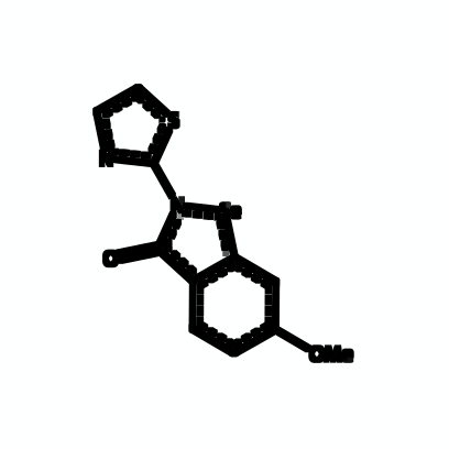 COc1ccc2c(=O)n(-c3nccs3)[se]c2c1